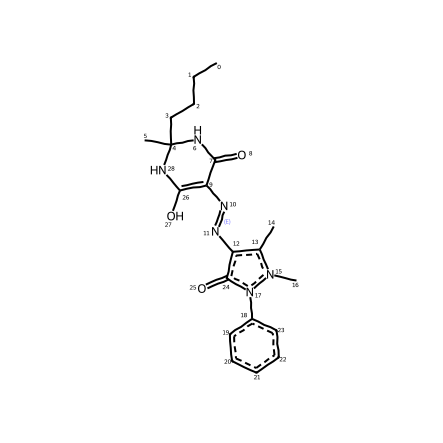 CCCCC1(C)NC(=O)C(/N=N/c2c(C)n(C)n(-c3ccccc3)c2=O)=C(O)N1